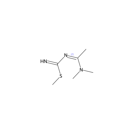 CSC(=N)/N=C(/C)N(C)C